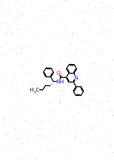 CCCC[C@@H](NC(=O)c1cc(-c2ccccc2)nc2ccccc12)c1ccccc1